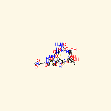 CC[C@H](C)[C@@H]1NC(=O)CNC(=O)[C@@H]2Cc3c([nH]c4c(CSCCNC(=O)CCCCN5C(=O)C=CC5=O)c(OC)ccc34)[S+]([O-])C[C@H](NC(=O)CNC1=O)C(=O)N[C@@H](CCC(N)=O)C(=O)N1C[C@H](O)C[C@H]1C(=O)N[C@@H]([C@@H](C)[C@@H](O)CO)C(=O)N2